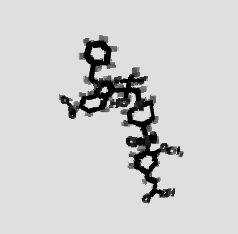 COc1cc(/C=C/C(=O)O)ccc1S(=O)(=O)C1CCN(CC(O)(c2cn(Cc3ccccc3)c3cc([N+](=O)[O-])ccc23)C(F)(F)F)CC1